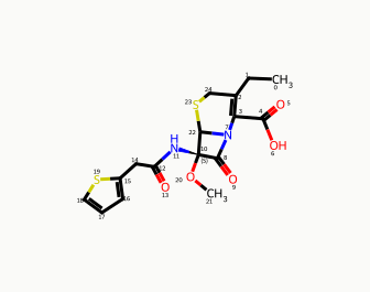 CCC1=C(C(=O)O)N2C(=O)[C@](NC(=O)Cc3cccs3)(OC)C2SC1